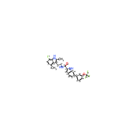 Cc1[nH]c2c(F)ccc(C)c2c1CCNC(=O)c1cc2ccc(-c3cccc(OC(F)(F)F)c3)cc2[nH]1